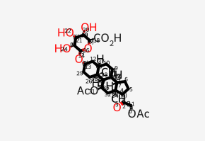 CC(=O)OCC(=O)[C@H]1CC[C@H]2[C@@H]3CC[C@H]4C[C@H](OC5O[C@H](C(=O)O)[C@@H](O)[C@H](O)[C@H]5O)CC[C@]4(C)[C@H]3[C@H](OC(C)=O)C[C@]12C